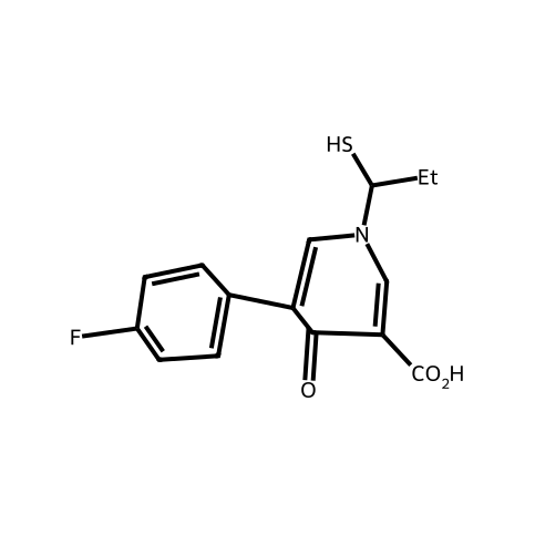 CCC(S)n1cc(C(=O)O)c(=O)c(-c2ccc(F)cc2)c1